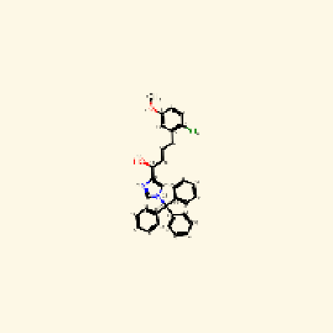 COc1ccc(Cl)c(CCCC(O)c2cn(C(c3ccccc3)(c3ccccc3)c3ccccc3)cn2)c1